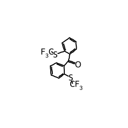 O=C(c1ccccc1SC(F)(F)F)c1ccccc1SC(F)(F)F